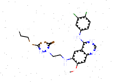 CCOc1cc2ncnc(Nc3ccc(F)c(Cl)c3)c2cc1NCCn1nc(SCCC(=O)O)sc1=S